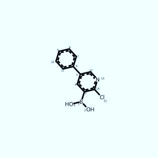 OB(O)c1cc(-c2ccccc2)cnc1Cl